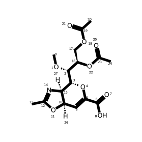 CO[C@@H]([C@@H]1OC(C(=O)O)=C[C@H]2OC(C)=N[C@@H]12)[C@@H](COC(C)=O)OC(C)=O